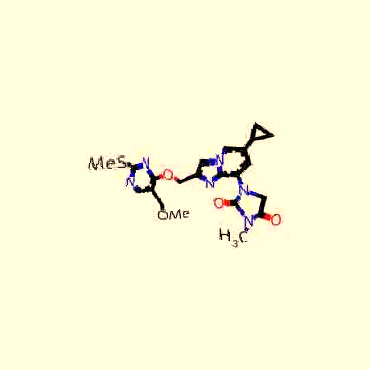 COCc1cnc(SC)nc1OCc1cn2cc(C3CC3)cc(N3CC(=O)N(C)C3=O)c2n1